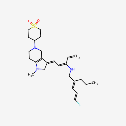 C=C/C(=C\C=C1/CN(C)C2=C1CN(C1CCS(=O)(=O)CC1)CC2)NC/C(=C/C=C/F)CCC